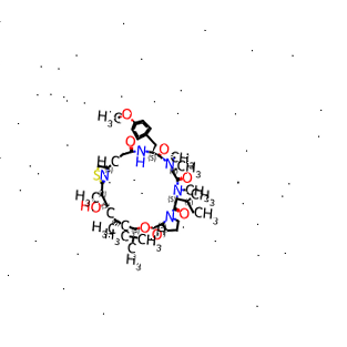 CC[C@H](C)[C@H]1C(=O)N2CCC[C@H]2C(=O)O[C@H](C(C)(C)C)C[C@@H](C)C[C@H](O)[C@@H](C)C2=N[C@@H](CCC(=O)N[C@@H](Cc3ccc(OC)cc3)C(=O)N(C)[C@@H](C)C(=O)N1C)CS2